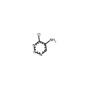 Nc1cnnnc1Cl